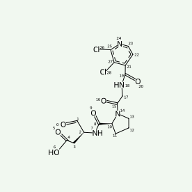 O=C[C@H](CC(=O)O)NC(=O)[C@@H]1CCCN1C(=O)CNC(=O)c1ccnc(Cl)c1Cl